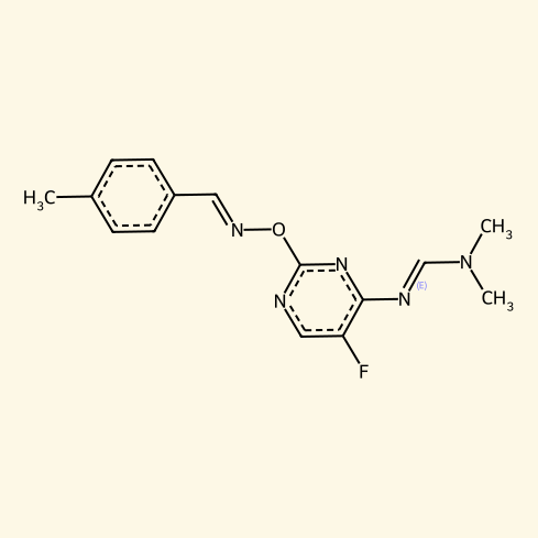 Cc1ccc(C=NOc2ncc(F)c(/N=C/N(C)C)n2)cc1